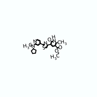 CCOC(=O)c1cc(-c2csc(-c3ccnc(N(C)C4CCCC4)c3)n2)c(=O)[nH]c1C